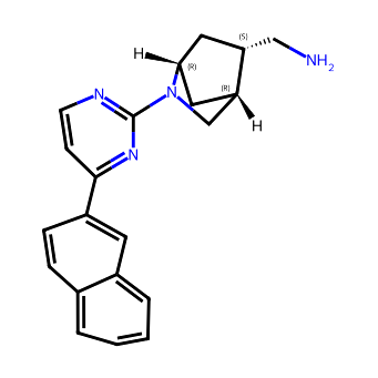 NC[C@H]1C[C@@H]2C[C@H]1CN2c1nccc(-c2ccc3ccccc3c2)n1